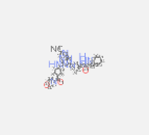 N#Cc1cn2c(Nc3ccc(C(=O)N4CCOCC4)cc3)nc(N3CCCC(NC(=O)c4cc5ccccc5[nH]4)C3)nc2n1